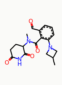 CC1CN(c2cccc(C=O)c2C(=O)N(C)C2CCC(=O)NC2=O)C1